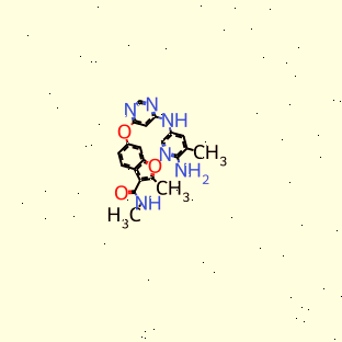 CNC(=O)c1c(C)oc2cc(Oc3cc(Nc4cnc(N)c(C)c4)ncn3)ccc12